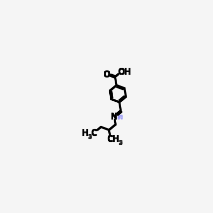 CCC(C)C/N=C/c1ccc(C(=O)O)cc1